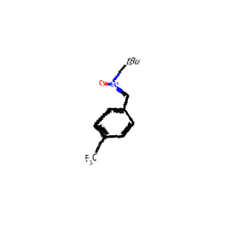 CC(C)(C)/[N+]([O-])=C/c1ccc(C(F)(F)F)cc1